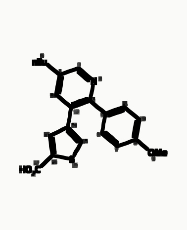 CCCCc1cnc(-c2ccc(OC)cc2)c(-c2csc(C(=O)O)c2)c1